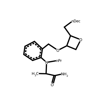 CCCCCCCCCCCC1OCC1OCc1ccccc1N(CCC)C(C)C(N)=O